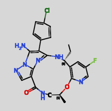 CC[C@H]1Nc2nc3c(cnn3c(N)c2-c2ccc(Cl)cc2)C(=O)NC[C@H](C)Oc2ncc(F)cc21